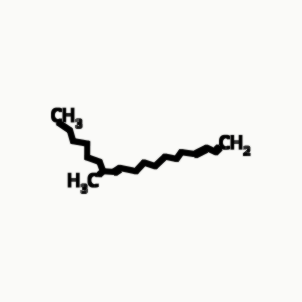 C=CC=CCCCCCCC=CC(C)CCCCCCC